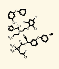 CC1(C)C(C=C(Cl)Cl)C1C(=O)OC(C#N)c1cccc(Oc2ccccc2)c1.CCCN(CCOc1c(Cl)cc(Cl)cc1Cl)C(=O)n1ccnc1.[CH2]c1cccc(Oc2ccccc2)c1.[C]#N